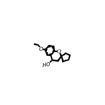 CCOc1ccc2c(c1)C(O)CC1(CCCC1)O2